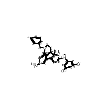 Cn1cc(C2=CN=C(Nc3cc(Cl)cc(Cl)c3)NC2(N)C2CCN(Cc3ccccc3)CC2)cn1